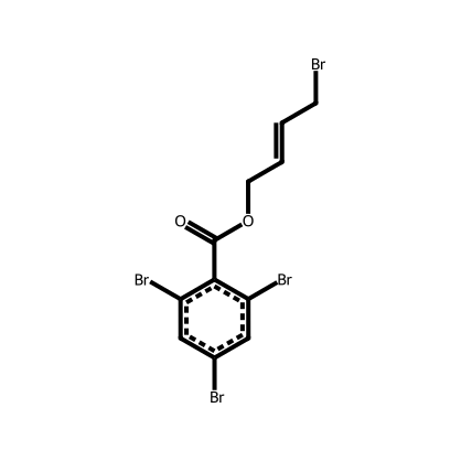 O=C(OC/C=C/CBr)c1c(Br)cc(Br)cc1Br